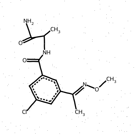 CON=C(C)c1cc(Cl)cc(C(=O)NC(C)C(N)=O)c1